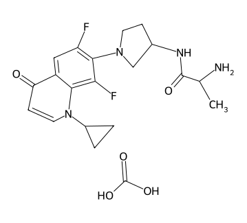 CC(N)C(=O)NC1CCN(c2c(F)cc3c(=O)ccn(C4CC4)c3c2F)C1.O=C(O)O